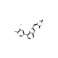 COc1cc(-c2cncc3cc(C=C4SC(=S)NC4=O)oc23)cnc1Cl